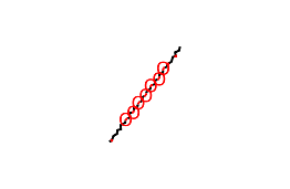 CCCCCCCCOCCOCCOCCOCCOCCOCCOCCCCCCCC